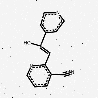 N#Cc1cccnc1/C=C(\O)c1ccncc1